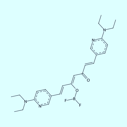 CCN(CC)c1ccc(/C=C/C(=O)/C=C(/C=C/c2ccc(N(CC)CC)nc2)OB(F)F)cn1